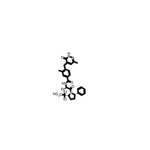 CC[C@@H](NC(=O)c1ccc(Cc2cc(C)n[nH]c2=O)c(C)c1)C(=O)N1[C@H](c2ccccc2)CC[C@@H]1C(CC)(CC)C(=O)O